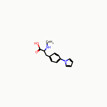 O=C(O)C(Cc1ccc(-n2cccc2)cc1)[NH][GeH3]